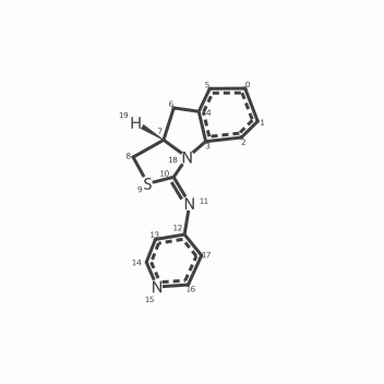 c1ccc2c(c1)C[C@H]1CSC(=Nc3ccncc3)N21